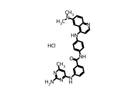 Cc1cc(Nc2cccc(C(=O)Nc3ccc(Nc4ccnc5ccc(N(C)C)cc45)cc3)c2)nc(N)n1.Cl